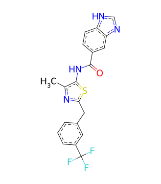 Cc1nc(Cc2cccc(C(F)(F)F)c2)sc1NC(=O)c1ccc2[nH]cnc2c1